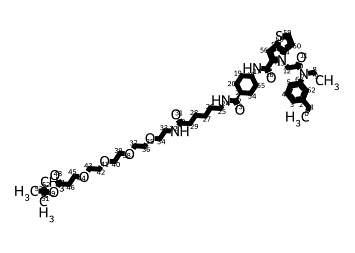 CCc1cccc(N(CC)C(=O)Cn2c(C(=O)N[C@H]3CC[C@H](C(=O)NCCCCCC(=O)NCCOCCOCCOCCOCCC(=O)OC(C)(C)C)CC3)cc3sccc32)c1